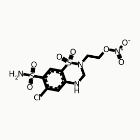 NS(=O)(=O)c1cc2c(cc1Cl)NCN(CCO[N+](=O)[O-])S2(=O)=O